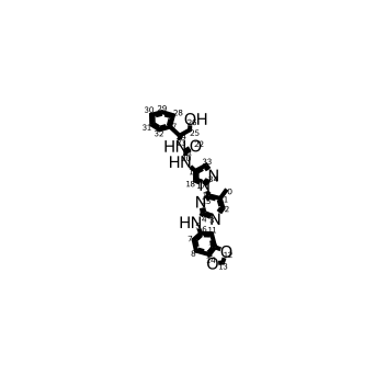 Cc1cnc(Nc2ccc3c(c2)OCO3)nc1-n1cc(NC(=O)NC(CO)c2ccccc2)cn1